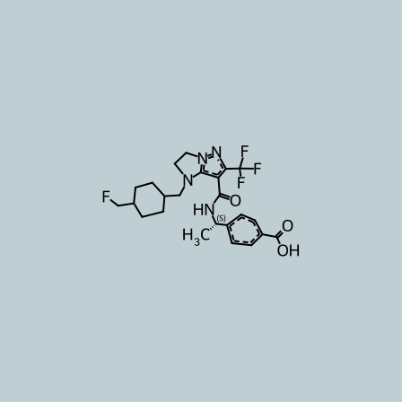 C[C@H](NC(=O)c1c(C(F)(F)F)nn2c1N(CC1CCC(CF)CC1)CC2)c1ccc(C(=O)O)cc1